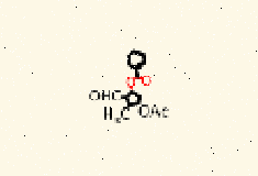 CC(=O)OC1CC(OC(=O)c2ccccc2)[C@H](C=O)C1C